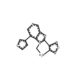 CCn1c(-c2nonc2N)nc2cncc(-c3ccsc3)c21